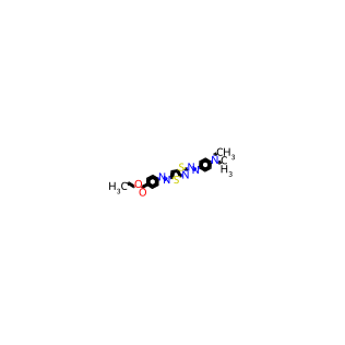 CCCOC(=O)c1ccc(N=NC2=CC3SC(N=Nc4ccc(N(CC)CC)cc4)=NC3S2)cc1